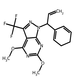 C=CC(C1=CCCC=C1)n1nc(C(F)(F)F)c2c(OC)nc(OC)nc21